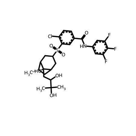 C[C@H]1CC2CC(S(=O)(=O)c3cc(C(=O)Nc4cc(F)c(F)c(F)c4)ccc3Cl)CC1[C@@]2(O)CC(O)C(C)(C)O